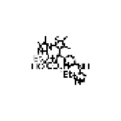 CCn1nccc1Nc1ccc(C2=NC([C@@](O)(CC)C(=O)O)c3nnc(C)n3-c3sc(C)c(C)c32)cc1